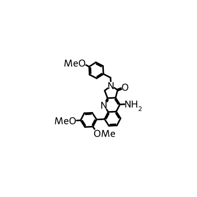 COc1ccc(CN2Cc3nc4c(-c5ccc(OC)cc5OC)cccc4c(N)c3C2=O)cc1